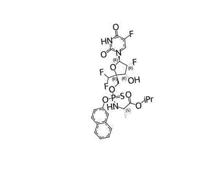 CC(C)OC(=O)[C@H](C)NP(=S)(OC[C@@]1(C(F)F)O[C@@H](n2cc(F)c(=O)[nH]c2=O)[C@H](F)[C@@H]1O)Oc1ccc2ccccc2c1